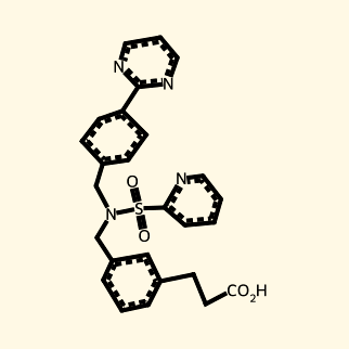 O=C(O)CCc1cccc(CN(Cc2ccc(-c3ncccn3)cc2)S(=O)(=O)c2ccccn2)c1